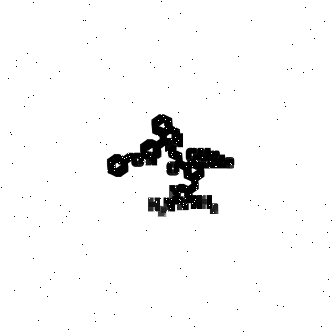 COc1cc(Cc2cnc(N)nc2N)cc(C(=O)C=CN2N=Cc3ccccc3C2c2ccc(OCc3ccccc3)nc2)c1OC